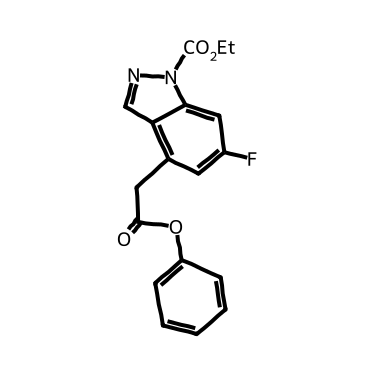 CCOC(=O)n1ncc2c(CC(=O)Oc3ccccc3)cc(F)cc21